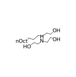 CCCCCCCCCCCCCCO.OCCNCCO